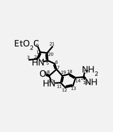 CCOC(=O)c1c(C)[nH]c(C=C2C(=O)Nc3ccc(C(=N)N)cc32)c1C